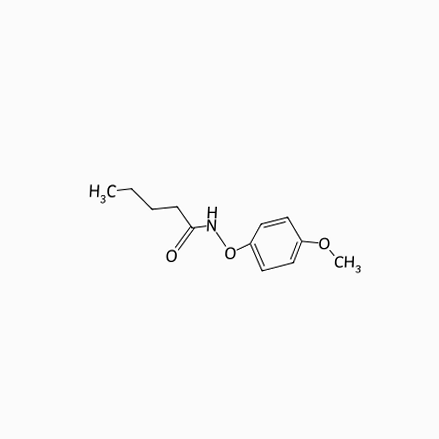 CCCCC(=O)NOc1ccc(OC)cc1